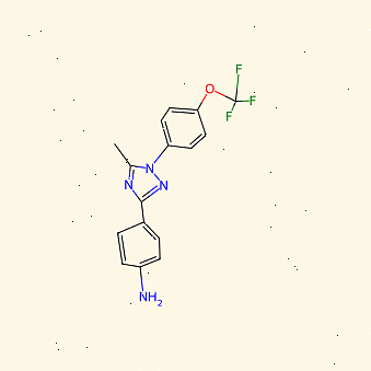 Cc1nc(-c2ccc(N)cc2)nn1-c1ccc(OC(F)(F)F)cc1